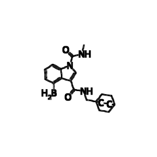 Bc1cccc2c1c(C(=O)NCC13CCC(CC1)CC3)cn2C(=O)NC